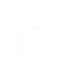 Cc1ccc(C(C)C)c(O)c1O